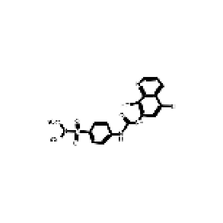 CCCCCCCCN(CCCCCCCC)S(=O)(=O)c1ccc(NC(=O)Nc2cc(Cl)c3cccnc3c2O)cc1